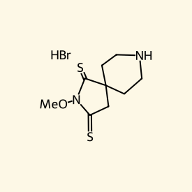 Br.CON1C(=S)CC2(CCNCC2)C1=S